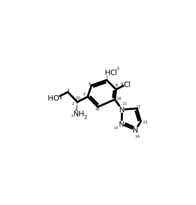 Cl.N[C@H](CO)c1ccc(Cl)c(-n2ccnn2)c1